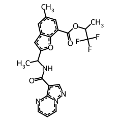 Cc1cc(C(=O)OC(C)C(F)(F)F)c2oc(C(C)NC(=O)c3cnn4cccnc34)cc2c1